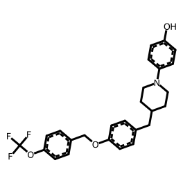 Oc1ccc(N2CCC(Cc3ccc(OCc4ccc(OC(F)(F)F)cc4)cc3)CC2)cc1